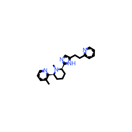 Cc1cccnc1[C@@H]1CCC[C@H](c2ncc(CCc3ccccn3)[nH]2)N1C